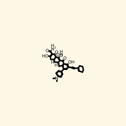 CN(C)c1ccc(-c2cc(C#CC3=CCCCC3)c(O)c3c2C[C@H]2C[C@H]4CC(O)=C(C(N)=O)C(=O)[C@@]4(O)C(O)=C2C3=O)cc1